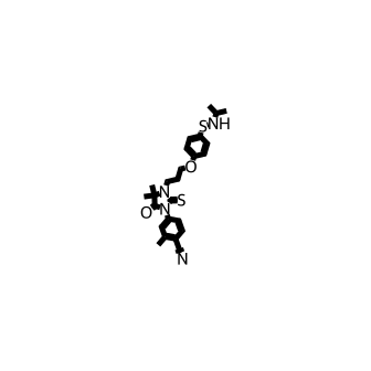 Cc1cc(N2C(=O)C(C)(C)N(CCCOc3ccc(SNC(C)C)cc3)C2=S)ccc1C#N